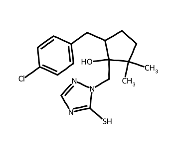 CC1(C)CCC(Cc2ccc(Cl)cc2)C1(O)Cn1ncnc1S